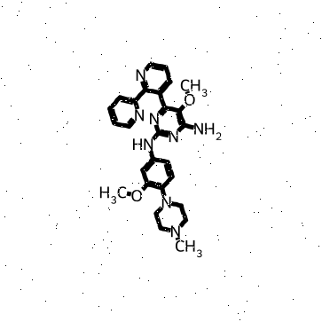 COc1cc(Nc2nc(N)c(OC)c(-c3cccnc3-c3ccccn3)n2)ccc1N1CCN(C)CC1